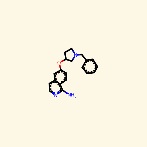 Nc1nccc2cc(OC3CCN(Cc4ccccc4)C3)ccc12